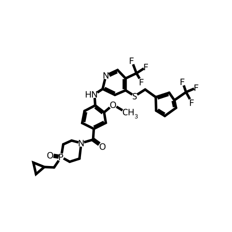 COc1cc(C(=O)N2CCP(=O)(CC3CC3)CC2)ccc1Nc1cc(SCc2cccc(C(F)(F)F)c2)c(C(F)(F)F)cn1